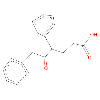 O=C(O)CCC(C(=O)Cc1ccccc1)c1ccccc1